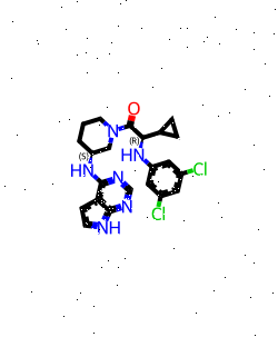 O=C([C@H](Nc1cc(Cl)cc(Cl)c1)C1CC1)N1CCC[C@H](Nc2ncnc3[nH]ccc23)C1